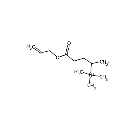 [CH2]C(CCC(=O)OCC=C)[N+](C)(C)C